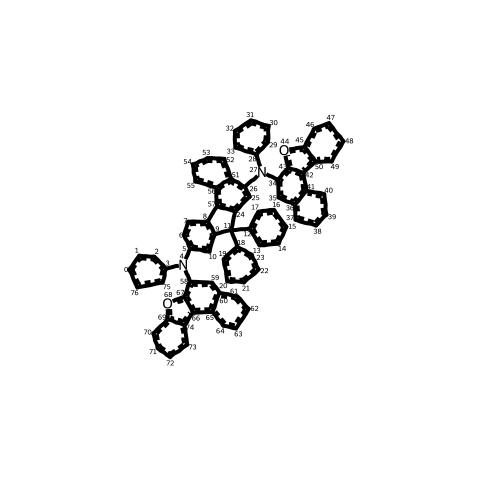 c1ccc(N(c2ccc3c(c2)C(c2ccccc2)(c2ccccc2)c2cc(N(c4ccccc4)c4cc5ccccc5c5c4oc4ccccc45)c4ccccc4c2-3)c2cc3ccccc3c3c2oc2ccccc23)cc1